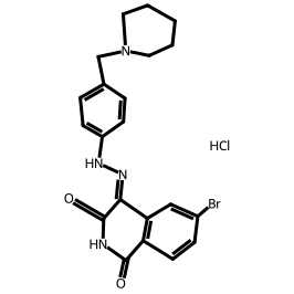 Cl.O=C1NC(=O)c2ccc(Br)cc2C1=NNc1ccc(CN2CCCCC2)cc1